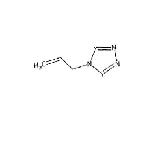 C=CCn1[c]nn[c]1